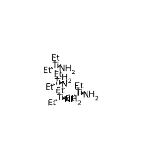 C[CH2][Ti]([NH2])[CH2]C.C[CH2][Ti]([NH2])[CH2]C.C[CH2][Ti]([NH2])[CH2]C.C[CH2][Ti]([NH2])[CH2]C